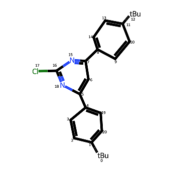 CC(C)(C)c1ccc(-c2cc(-c3ccc(C(C)(C)C)cc3)nc(Cl)n2)cc1